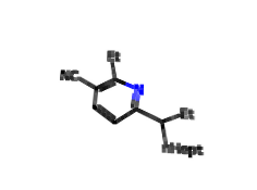 CCCCCCCC(CC)c1ccc(C#N)c(CC)n1